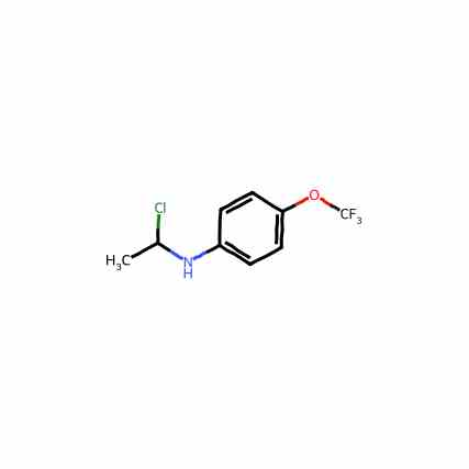 CC(Cl)Nc1ccc(OC(F)(F)F)cc1